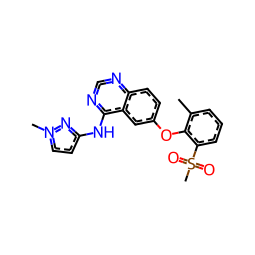 Cc1cccc(S(C)(=O)=O)c1Oc1ccc2ncnc(Nc3ccn(C)n3)c2c1